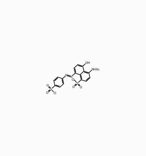 CC(=O)Nc1ccc(S(=O)(=O)Cl)c2c(N=Nc3ccc(S(=O)(=O)Cl)cc3)ccc(O)c12